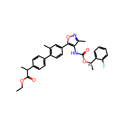 CCOC(=O)C(C)c1ccc(-c2ccc(-c3onc(C)c3NC(=O)O[C@H](C)c3ccccc3F)cc2C)cc1